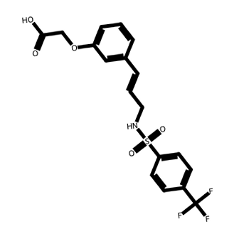 O=C(O)COc1cccc(C=CCNS(=O)(=O)c2ccc(C(F)(F)F)cc2)c1